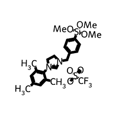 CO[Si](OC)(OC)c1ccc(CN2C=[N+](c3c(C)cc(C)cc3C)CC2)cc1.O=S(=O)([O-])C(F)(F)F